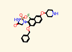 O=C1CN(c2c(OCc3ccccc3)cc3ccc(OC4CCNCC4)cc3c2F)S(=O)(=O)N1